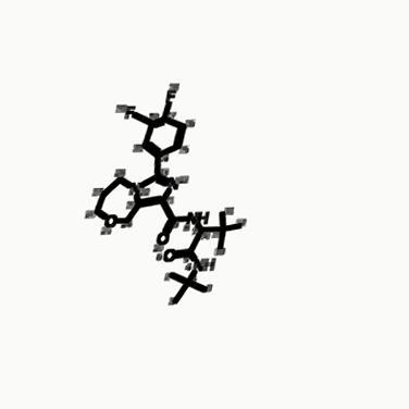 CC(C)(C)NC(=O)[C@@H](NC(=O)c1nc(-c2ccc(F)c(F)c2)n2c1COCCC2)C(C)(C)C